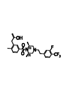 C=C(O)Cc1cc(S(=O)(=O)N2[C@H](C)CN(CCc3ccc(C(F)(F)F)c(F)c3)C[C@@H]2C)ccc1C